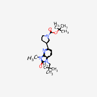 Cn1c(=O)n(CC(C)(C)C)c2ccc(C3CCN(C(=O)OC(C)(C)C)C3)nc21